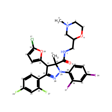 CN1CCOC(CNC(=O)C2(C)C(c3ccc(Cl)o3)C(c3ccc(F)cc3F)=NN2c2ccc(I)cc2I)C1